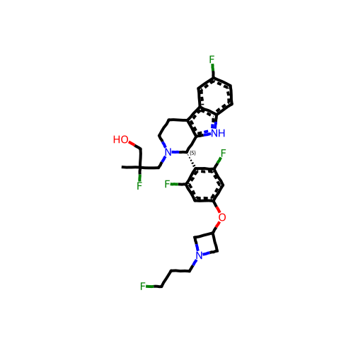 CC(F)(CO)CN1CCc2c([nH]c3ccc(F)cc23)[C@@H]1c1c(F)cc(OC2CN(CCCF)C2)cc1F